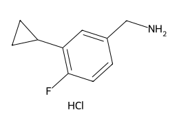 Cl.NCc1ccc(F)c(C2CC2)c1